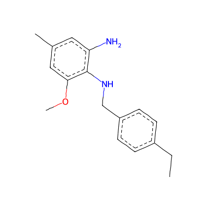 CCc1ccc(CNc2c(N)cc(C)cc2OC)cc1